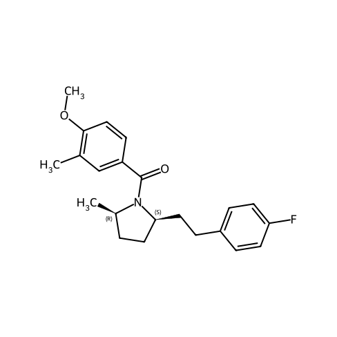 COc1ccc(C(=O)N2[C@@H](CCc3ccc(F)cc3)CC[C@H]2C)cc1C